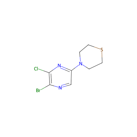 Clc1nc(N2CCSCC2)cnc1Br